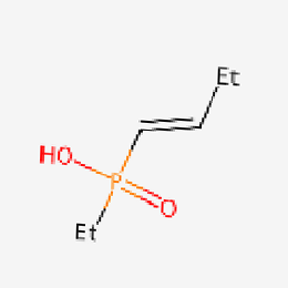 CCC=CP(=O)(O)CC